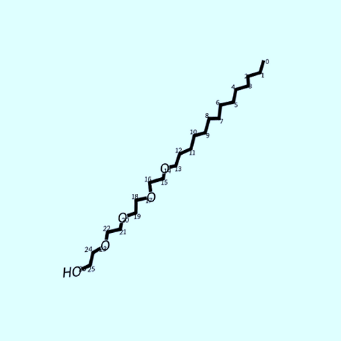 CCCCCCCCCCCCCCOCCOCCOCCOCCO